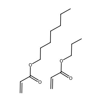 C=CC(=O)OCCC.C=CC(=O)OCCCCCCC